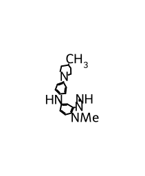 CNc1ccc(Nc2ccc(N3CCC(C)CC3)cc2)cc1N=N